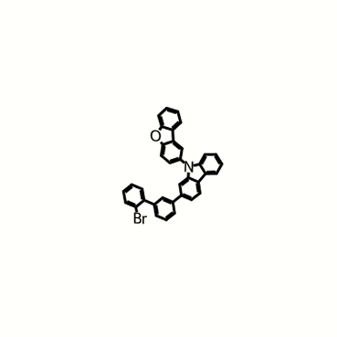 Brc1ccccc1-c1cccc(-c2ccc3c4ccccc4n(-c4ccc5oc6ccccc6c5c4)c3c2)c1